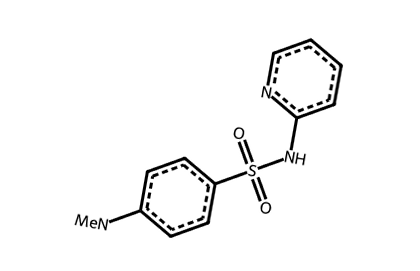 CNc1ccc(S(=O)(=O)Nc2ccccn2)cc1